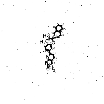 CC(O)C(Oc1cccc(-c2ccc3cn(C)nc3n2)c1)N1CCc2ccccc2C1